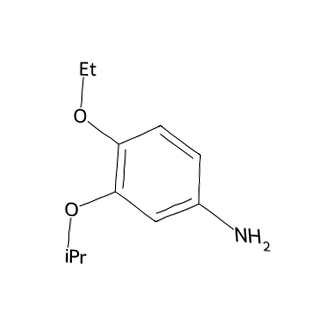 CCOc1ccc(N)cc1OC(C)C